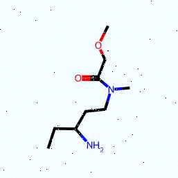 CCC(N)CCN(C)C(=O)COC